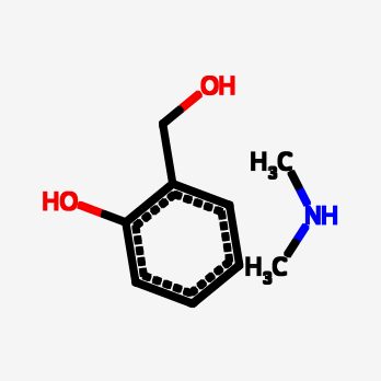 CNC.OCc1ccccc1O